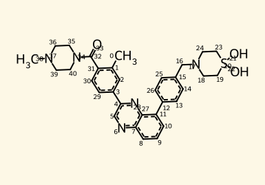 Cc1cc(-c2cnc3cccc(-c4ccc(CN5CCS(O)(O)CC5)cc4)c3n2)ccc1C(=O)N1CCN(C)CC1